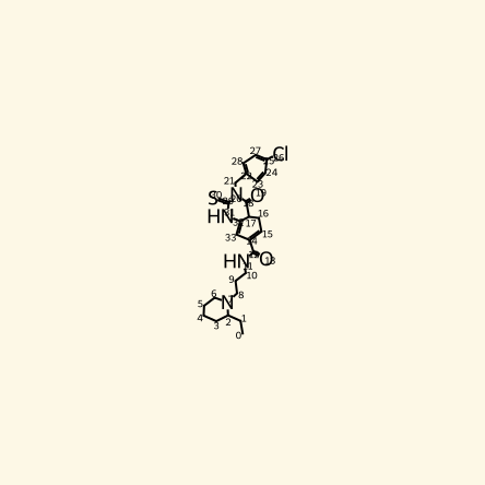 CCC1CCCCN1CCCNC(=O)C1=CCC2C(=O)N(Cc3ccc(Cl)cc3)C(=S)NC2=C1